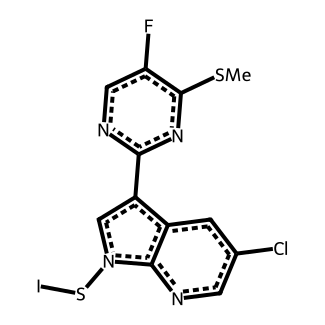 CSc1nc(-c2cn(SI)c3ncc(Cl)cc23)ncc1F